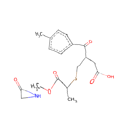 COC(=O)C(C)SCC(CC(=O)O)C(=O)c1ccc(C)cc1.O=C1CN1